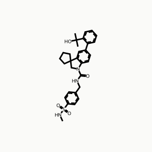 CNS(=O)(=O)c1ccc(CNC(=O)N2CC3(CCCC3)c3cc(-c4ccccc4C(C)(C)O)ccc32)cc1